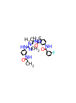 C=CC(=O)Nc1cccc(N/C(N=C)=N/C=C(\C)NC(=O)c2cc(NC(=O)c3cccc(F)c3)ccc2C)c1